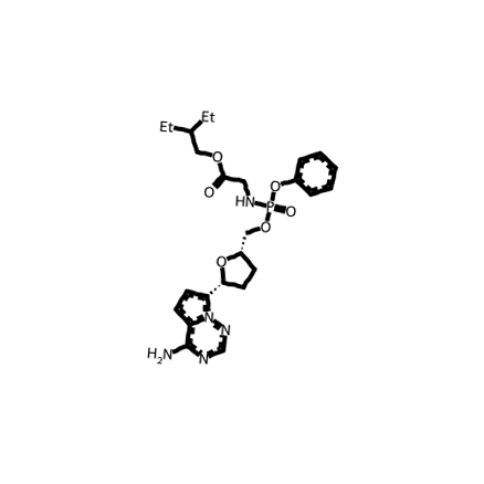 CCC(CC)COC(=O)CNP(=O)(OC[C@@H]1CC[C@H](c2ccc3c(N)ncnn23)O1)Oc1ccccc1